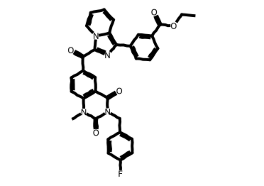 CCOC(=O)c1cccc(-c2nc(C(=O)c3ccc4c(c3)c(=O)n(Cc3ccc(F)cc3)c(=O)n4C)n3ccccc23)c1